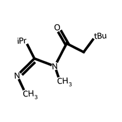 C/N=C(/C(C)C)N(C)C(=O)CC(C)(C)C